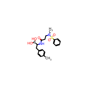 Cc1ccc(CC(NC(=O)CCN(C)S(=O)(=O)c2ccccc2)B(O)O)cc1